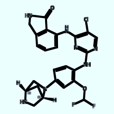 O=C1NCc2cccc(Nc3nc(Nc4ccc(N5C[C@@H]6C[C@H]5CN6)cc4OC(F)F)ncc3Cl)c21